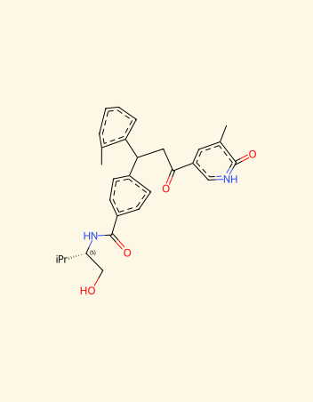 Cc1ccccc1C(CC(=O)c1c[nH]c(=O)c(C)c1)c1ccc(C(=O)N[C@H](CO)C(C)C)cc1